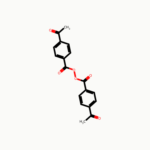 CC(=O)c1ccc(C(=O)OOC(=O)c2ccc(C(C)=O)cc2)cc1